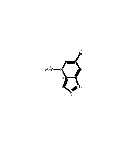 COn1cc(Br)cc2nncc1-2